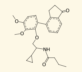 CCCC(=O)NC(COc1c(-c2cccc3c2CCC3=O)ccc(OC)c1OC)C1CC1